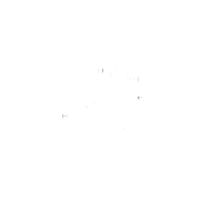 CC(I)C(O)C(C)C(C)(C)O.O=C(O)O